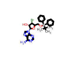 CC(C)(C)[Si](OCC1O[C@@H](n2cnc3c(N)ncnc32)[C@H](O)[C@H]1Br)(c1ccccc1)c1ccccc1